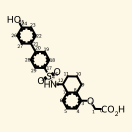 O=C(O)COc1cccc2c1CCCC2NS(=O)(=O)c1ccc(-c2ccc(O)cc2)cc1